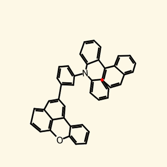 c1ccc(N(c2cccc(-c3cc4c5c(cccc5c3)Oc3ccccc3-4)c2)c2ccccc2-c2cccc3ccccc23)cc1